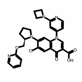 O=C(O)c1cn(-c2ccnc(N3CCC3)c2)c2cc(N3CCC[C@@H]3COc3ccccn3)c(Cl)cc2c1=O